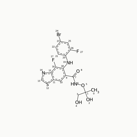 CC(O)(CO)ONC(=O)c1cc2scnc2c(F)c1Nc1ccc(Br)cc1F